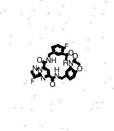 CC(=O)c1cc(CNC(=O)c2cc(C(=O)NCc3ccc4c(c3)NC(=O)CO4)nc3c(F)cnn23)ccc1F